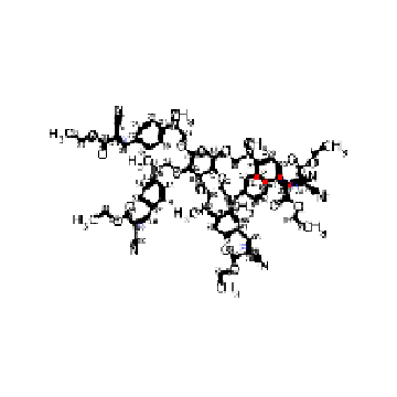 CCOC(=O)/C(C#N)=C\c1ccc(N(C)COC2OC(OCN(C)c3ccc(/C=C(\C#N)C(=O)OCC)cc3)C(OCN(C)c3ccc(/C=C(/C#N)C(=O)OCC)cc3)C(OCN(C)c3ccc(/C=C(/C#N)C(=O)OCC)cc3)C2OCN(C)c2ccc(/C=C(/C#N)C(=O)OCC)cc2)cc1